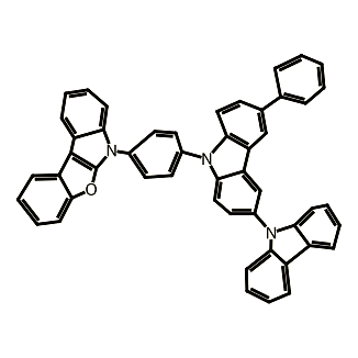 c1ccc(-c2ccc3c(c2)c2cc(-n4c5ccccc5c5ccccc54)ccc2n3-c2ccc(-n3c4ccccc4c4c5ccccc5oc43)cc2)cc1